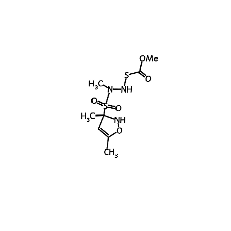 COC(=O)SNN(C)S(=O)(=O)C1(C)C=C(C)ON1